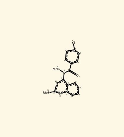 CNN(C(=O)c1ccc(Cl)cc1)c1nc(SC)nc2ccccc12